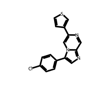 Clc1ccc(-c2cnc3cnc(-c4ccsc4)cn23)cc1